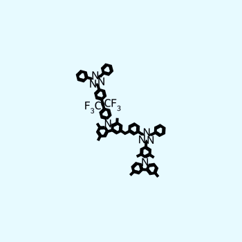 Cc1ccc2c(c1)c1cc(C)ccc1n2-c1c(C)cc(-c2nc(-c3ccccc3)nc(-c3cccc(Cc4cc(C)c5c(c4)c4cc(C)cc(C)c4n5-c4ccc(C(c5ccc(-c6nc(-c7ccccc7)nc(-c7ccccc7)n6)cc5)(C(F)(F)F)C(F)(F)F)cc4)c3)n2)cc1C